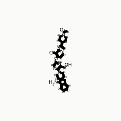 CC(=O)N1CCC(c2cn3ccc(Sc4cnc(N5CCC6(CC5)Cc5ccccc5[C@H]6N)c(CO)n4)c(Cl)c3n2)CC1